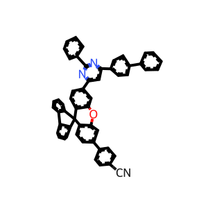 N#Cc1ccc(-c2ccc3c(c2)Oc2cc(-c4cc(-c5ccc(-c6ccccc6)cc5)nc(-c5ccccc5)n4)ccc2C32c3ccccc3-c3ccccc32)cc1